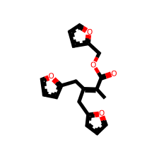 CC(C(=O)OCc1ccco1)=C(Cc1ccco1)Cc1ccco1